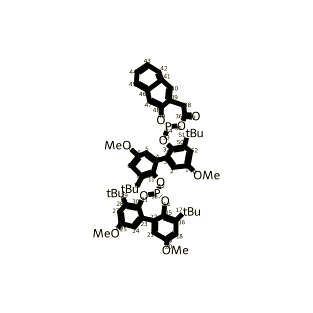 COc1cc(-c2cc(OC)cc(C(C)(C)C)c2Op2oc3c(C(C)(C)C)cc(OC)cc3c3cc(OC)cc(C(C)(C)C)c3o2)c(OP2OC(=O)Cc3cc4ccccc4cc3O2)c(C(C)(C)C)c1